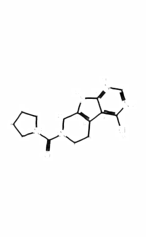 O=C(N1CCCC1)N1CCc2c(sc3ncnc(Cl)c23)C1